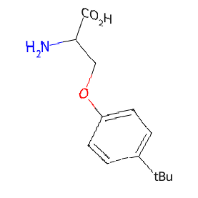 CC(C)(C)c1ccc(OCC(N)C(=O)O)cc1